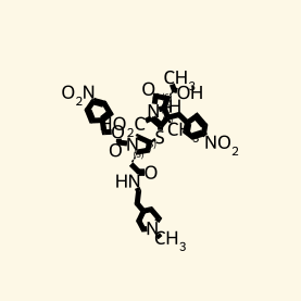 CC(O)[C@H]1C(=O)N2C(C(=O)O)=C(S[C@H]3C[C@H](CC(=O)NCCC4CCN(C)CC4)N(C(=O)OCc4ccc([N+](=O)[O-])cc4)C3)[C@](C)(Cc3ccc([N+](=O)[O-])cc3)[C@H]12